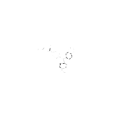 CC(=O)C(OC(=O)N1CCN(C(c2ccc3c(c2)OCO3)c2ccc3c(c2)OCO3)CC1)C(F)(F)F